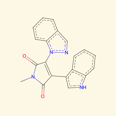 CN1C(=O)C(c2c[nH]c3ccccc23)=C(n2ncc3ccccc32)C1=O